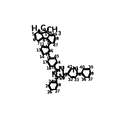 CC1(C)c2ccccc2-c2c(-c3cccc(-c4ccc(-c5nc(-c6ccccc6)nc(-c6ccc(-c7ccccc7)nc6)n5)cc4)c3)cccc21